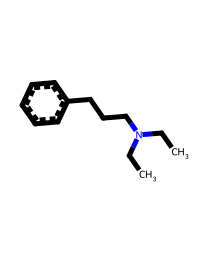 CCN(CC)C[CH]Cc1ccccc1